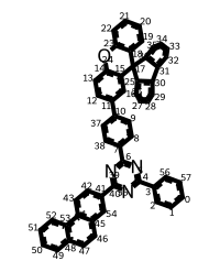 c1ccc(-c2nc(-c3ccc(-c4ccc5c(c4)C4(c6ccccc6O5)c5ccccc5-c5ccccc54)cc3)nc(-c3ccc4c(ccc5ccccc54)c3)n2)cc1